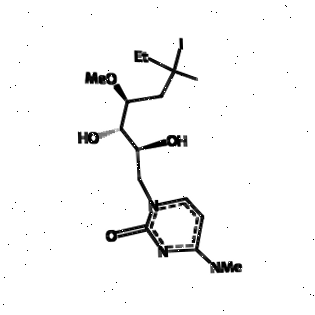 CCC(C)(I)C[C@H](OC)[C@@H](O)[C@@H](O)Cn1ccc(NC)nc1=O